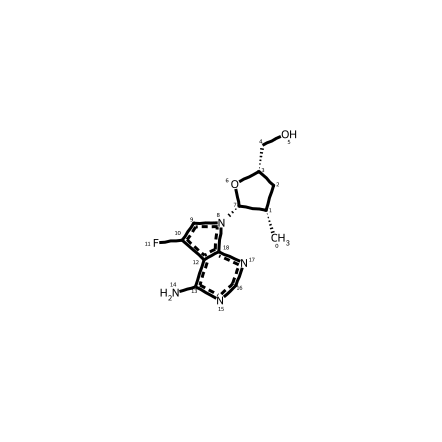 C[C@H]1C[C@@H](CO)O[C@H]1n1cc(F)c2c(N)ncnc21